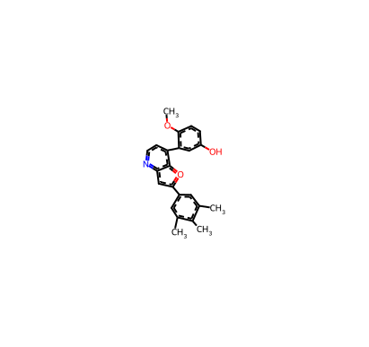 COc1ccc(O)cc1-c1ccnc2cc(-c3cc(C)c(C)c(C)c3)oc12